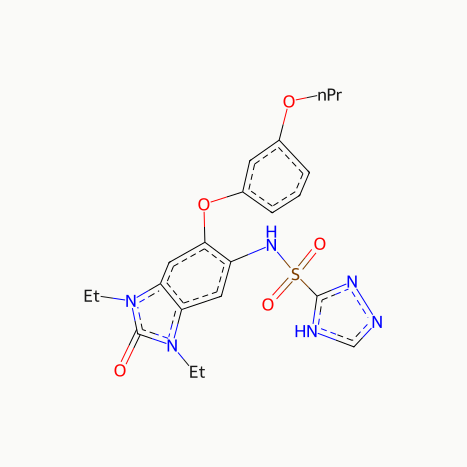 CCCOc1cccc(Oc2cc3c(cc2NS(=O)(=O)c2nnc[nH]2)n(CC)c(=O)n3CC)c1